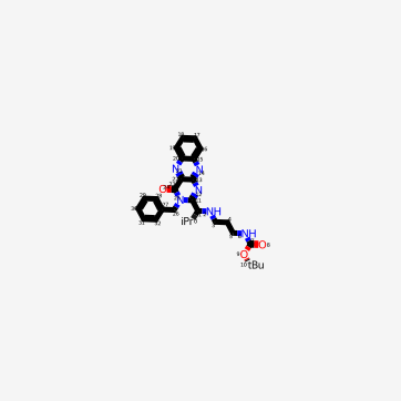 CC(C)C(NCCCNC(=O)OC(C)(C)C)c1nc2nc3ccccc3nc2c(=O)n1Cc1ccccc1